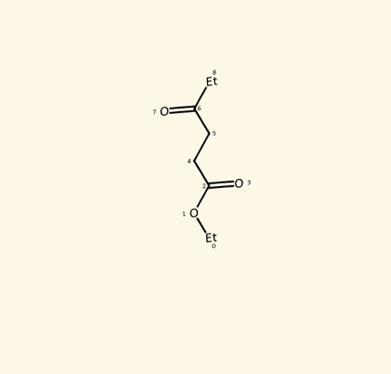 CCOC(=O)CCC(=O)CC